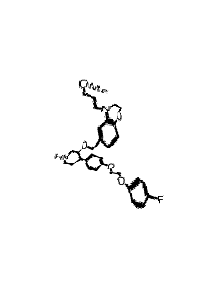 COCCCN1CCOc2ccc(COC3CNCCC3c3ccc(OCCOc4ccc(F)cc4)cc3)cc21